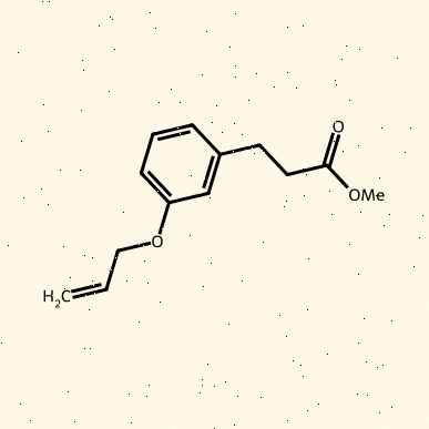 C=CCOc1cccc(CCC(=O)OC)c1